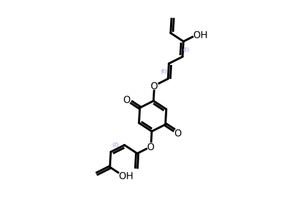 C=C/C(O)=C\C=C\OC1=CC(=O)C(OC(=C)/C=C\C(=C)O)=CC1=O